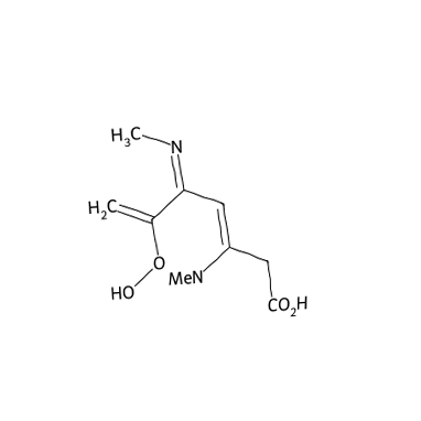 C=C(OO)C(/C=C(/CC(=O)O)NC)=N\C